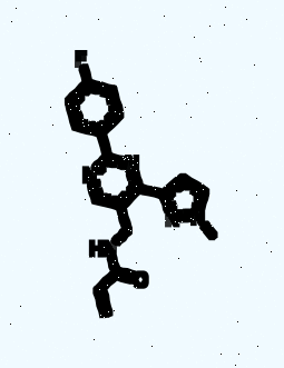 C=CC(=O)NCc1cnc(-c2ccc(F)cc2)nc1-c1ccn(C)n1